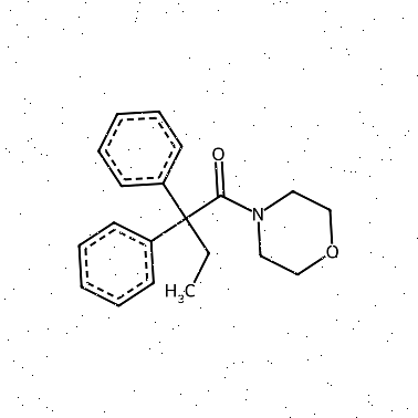 CCC(C(=O)N1CCOCC1)(c1ccccc1)c1ccccc1